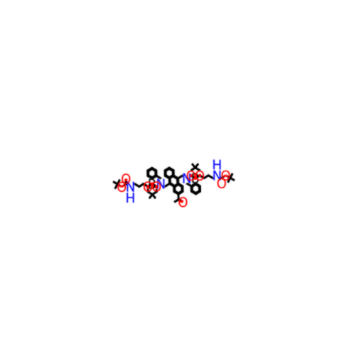 CC(=O)c1ccc2c(CN(CCCCCCNC(=O)OC(C)(C)C)Cc3ccccc3B3OCC(C)(C)CO3)c3ccccc3c(CN(CCCCCCNC(=O)OC(C)(C)C)Cc3ccccc3B3OCC(C)(C)CO3)c2c1